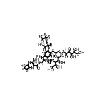 CCn1c(CNC(=O)c2nc3cc[nH]c3nc2N)[n+](CC)c2cc(CCCN(C[C@H](O)[C@@H](O)[C@H](O)[C@H](O)CO)C[C@H](O)[C@@H](O)[C@H](O)[C@H](O)CO)ccc21.O=C(O)C(F)(F)F.O=C([O-])C(F)(F)F